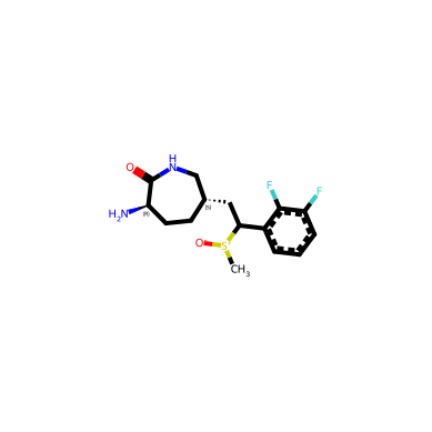 C[S+]([O-])C(C[C@@H]1CC[C@@H](N)C(=O)NC1)c1cccc(F)c1F